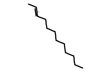 [CH2]/C=C/CCCCCCCCC